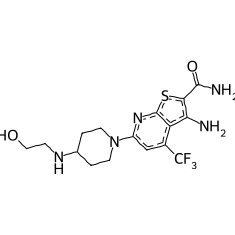 NC(=O)c1sc2nc(N3CCC(NCCO)CC3)cc(C(F)(F)F)c2c1N